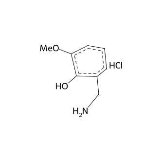 COc1cccc(CN)c1O.Cl